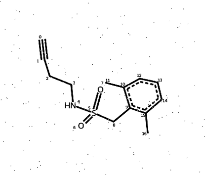 C#CCCNS(=O)(=O)Cc1c(C)cccc1C